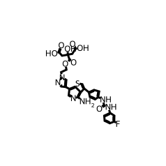 Nc1ncc(-c2cnn(CCOC(=O)C(O)(CC(=O)O)CC(=O)O)c2)c2scc(-c3ccc(NC(=O)Nc4cccc(F)c4)cc3)c12